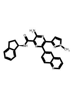 Cn1ccc(-c2nc(N)c(C(=O)N[C@@H]3CCc4ccccc43)nc2-c2ccc3ncccc3c2)n1